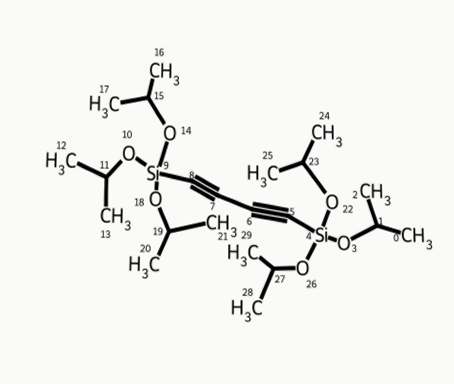 CC(C)O[Si](C#CC#C[Si](OC(C)C)(OC(C)C)OC(C)C)(OC(C)C)OC(C)C